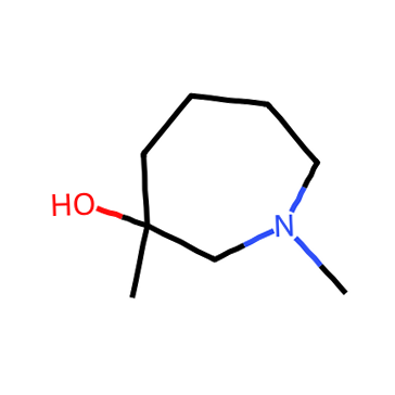 CN1CCCCC(C)(O)C1